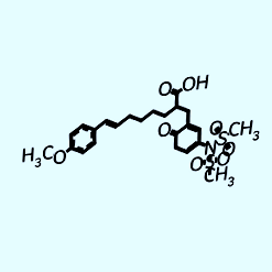 COc1ccc(/C=C/CCCCC(CC2=CC(N(S(C)(=O)=O)S(C)(=O)=O)=CCC2=O)C(=O)O)cc1